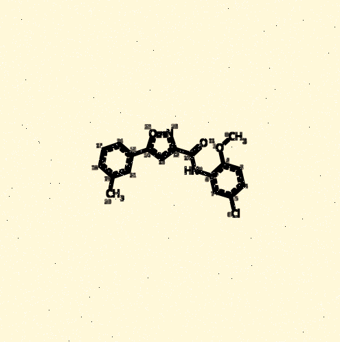 COc1ccc(Cl)cc1NC(=O)c1cc(-c2cccc(C)c2)on1